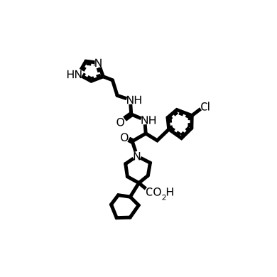 O=C(NCCc1c[nH]cn1)NC(Cc1ccc(Cl)cc1)C(=O)N1CCC(C(=O)O)(C2CCCCC2)CC1